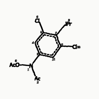 CC(=O)ON(C(C)=O)c1cc(Cl)c(C(C)C)c(Cl)c1